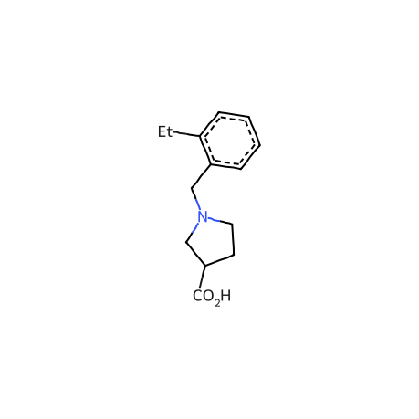 CCc1ccccc1CN1CCC(C(=O)O)C1